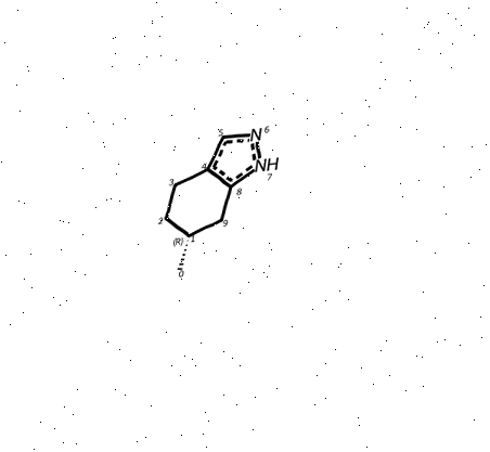 C[C@@H]1CCc2cn[nH]c2C1